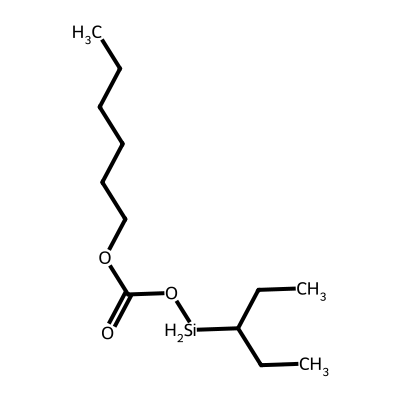 CCCCCCOC(=O)O[SiH2]C(CC)CC